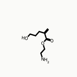 C=C(CCCO)C(=O)OCCN